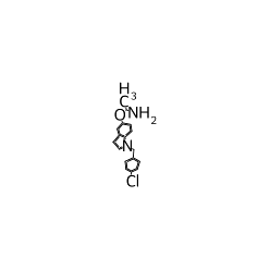 CC(N)Oc1ccc2c(ccn2Cc2ccc(Cl)cc2)c1